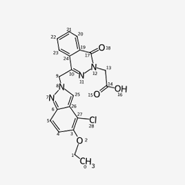 CCOc1ccc2nn(Cc3nn(CC(=O)O)c(=O)c4ccccc34)cc2c1Cl